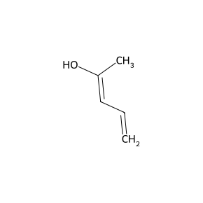 C=C/C=C(\C)O